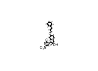 C[C@](O)(CN1CCC(OC/C=C/c2ccccc2)CC1)Cn1cc([N+](=O)[O-])nc1Cl